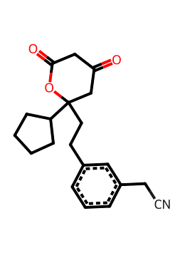 N#CCc1cccc(CCC2(C3CCCC3)CC(=O)CC(=O)O2)c1